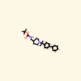 CC(C)(C)OC(=O)NCC1CCN(C(C)(C)c2ccc(-c3ccccc3)cc2)CC1